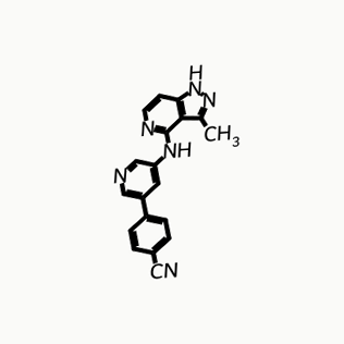 Cc1n[nH]c2ccnc(Nc3cncc(-c4ccc(C#N)cc4)c3)c12